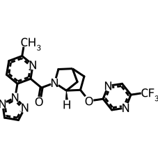 Cc1ccc(-n2nccn2)c(C(=O)N2CC3CC(Oc4cnc(C(F)(F)F)cn4)[C@H]2C3)n1